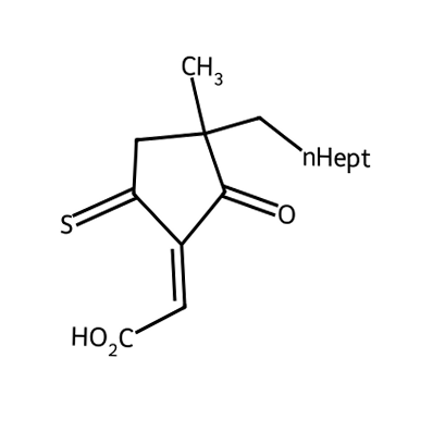 CCCCCCCCC1(C)CC(=S)/C(=C\C(=O)O)C1=O